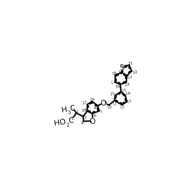 CC(C(=O)O)C1COc2cc(OCc3cccc(-c4ccc5sccc5c4)c3)ccc21